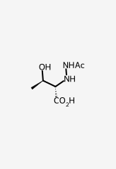 CC(=O)NN[C@H](C(=O)O)[C@@H](C)O